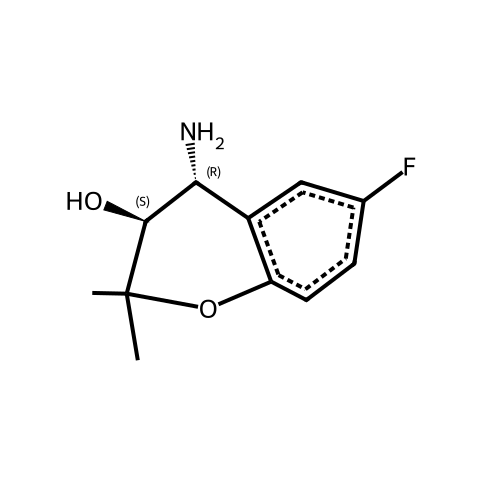 CC1(C)Oc2ccc(F)cc2[C@@H](N)[C@@H]1O